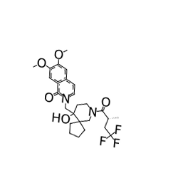 COc1cc2ccn(CC3(O)CCN(C(=O)[C@H](C)CC(F)(F)F)CC34CCCC4)c(=O)c2cc1OC